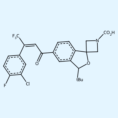 CC(C)(C)C1OC2(CN(C(=O)O)C2)c2ccc(C(=O)/C=C(\c3ccc(F)c(Cl)c3)C(F)(F)F)cc21